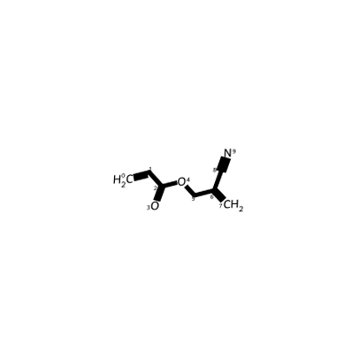 C=CC(=O)OCC(=C)C#N